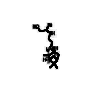 CCC(CO)NCCN[C@@H]1CC2C[C@H]([C@H]1C)C2(C)C